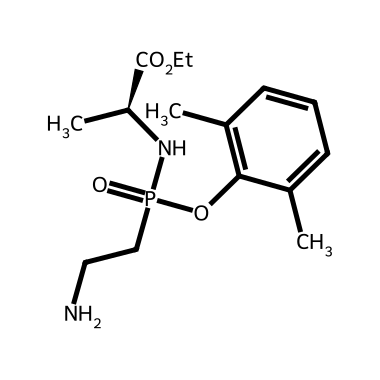 CCOC(=O)[C@H](C)NP(=O)(CCN)Oc1c(C)cccc1C